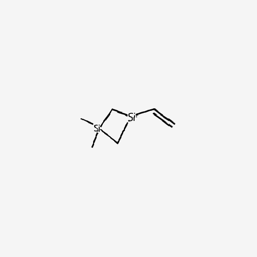 C=C[Si]1C[Si](C)(C)C1